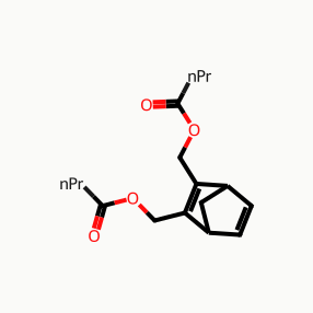 CCCC(=O)OCC1=C(COC(=O)CCC)C2C=CC1C2